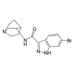 O=C(NC1CN2CCC1CC2)c1n[nH]c2cc(Br)ccc12